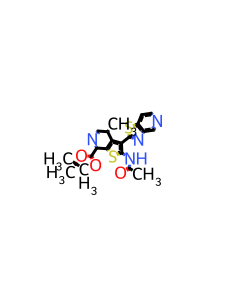 CC(=O)Nc1sc2c(c1-c1nc3cnccc3s1)C(C)C=NC2C(=O)OC(C)(C)C